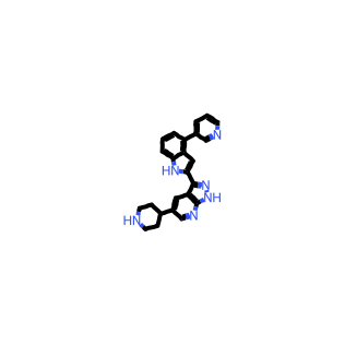 c1cncc(-c2cccc3[nH]c(-c4n[nH]c5ncc(C6CCNCC6)cc45)cc23)c1